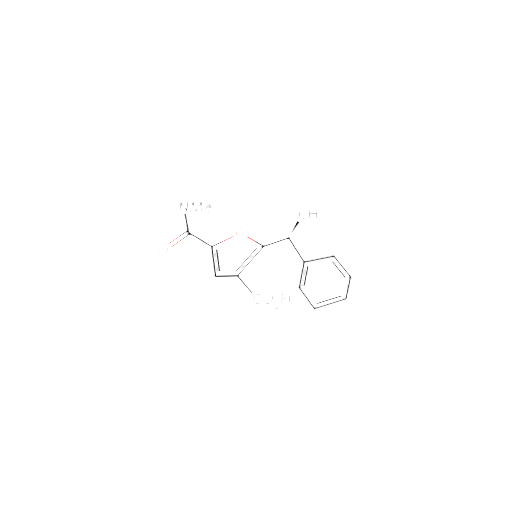 CNC(=O)c1cc(C(=O)O)c([C@@H](C)c2ccccc2)o1